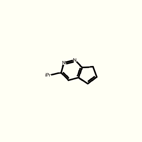 CC(C)c1cc2c(nn1)CC=C2